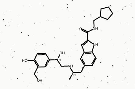 C[C@H](Cc1ccc2[nH]c(C(=O)NCC3CCCC3)cc2c1)NC[C@H](O)c1ccc(O)c(CO)c1